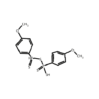 COc1ccc([PH](=S)SP(=S)(S)c2ccc(OC)cc2)cc1